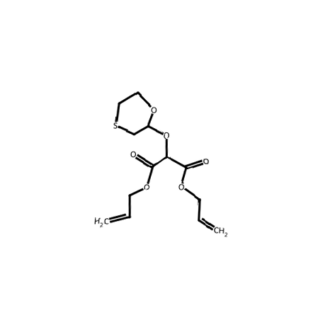 C=CCOC(=O)C(OC1CSCCO1)C(=O)OCC=C